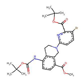 COC(=O)c1ccc(NC(=O)OC(C)(C)C)c2c1CN(c1ccc(Br)c(C(=O)OC(C)(C)C)n1)CC2